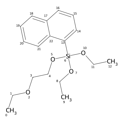 CCOCCO[Si](OCC)(OCC)c1cccc2ccccc12